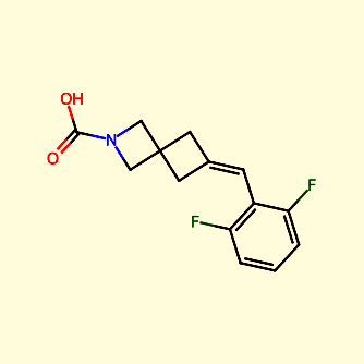 O=C(O)N1CC2(CC(=Cc3c(F)cccc3F)C2)C1